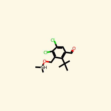 C[SiH](C)OCc1c(Cl)c(Cl)cc(C=O)c1C(C)(C)C